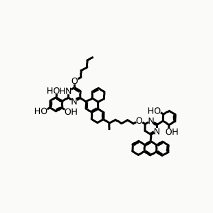 CCCCCOC1=CC(C2=CC3=C(C=C(C(C)CCCCOC4CC(c5c6c(cc7ccccc57)CCC=C6)=NC(C5C(O)C=CCC5O)=N4)CC3)C3CCC=CC23)=NC(c2c(O)cc(O)cc2O)N1